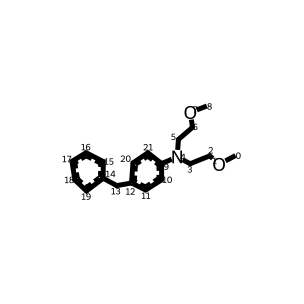 COCCN(CCOC)c1ccc(Cc2ccccc2)cc1